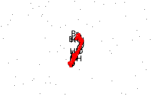 C[C@H](CC(=O)N1CCC(O)(Cn2cnc3c(-c4ccc(CNC(=O)C=COCCOCCN5CCN(C[C@@H](O)Cn6c7ccc(Br)cc7c7cc(Br)ccc76)CC5)cc4)n(C)nc3c2=O)CC1)c1ccccc1